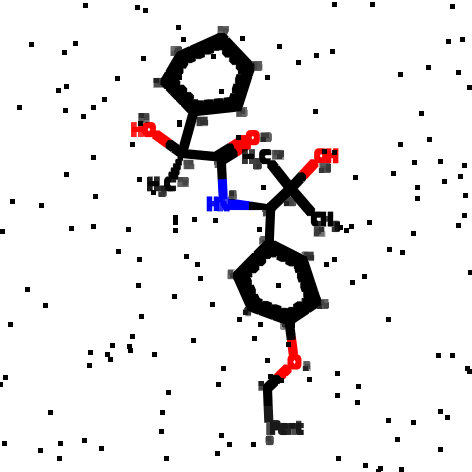 CCCC(C)COc1ccc([C@@H](NC(=O)[C@@](C)(O)c2ccccc2)C(C)(C)O)cc1